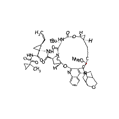 C=C[C@@H]1C[C@]1(NC(=O)[C@@H]1C[C@@H]2CN1C(=O)[C@H](C(C)(C)C)NC(=O)O[C@@H]1C[C@H]1CCCCCc1c(nc3ccccc3c1OC1C3COCC1CN(CCOC)C3)O2)C(=O)NS(=O)(=O)C1(C)CC1